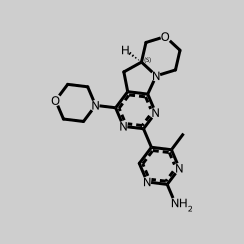 Cc1nc(N)ncc1-c1nc(N2CCOCC2)c2c(n1)N1CCOC[C@@H]1C2